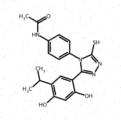 CC(=O)Nc1ccc(-n2c(S)nnc2-c2cc(C(C)C)c(O)cc2O)cc1